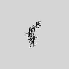 O=C(N[C@H]1CC[C@H](c2nnc(OCCOC(F)(F)F)o2)NC1)c1ccc(Cl)c(Cl)n1